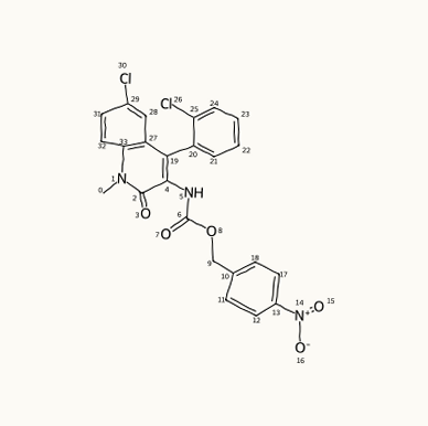 Cn1c(=O)c(NC(=O)OCc2ccc([N+](=O)[O-])cc2)c(-c2ccccc2Cl)c2cc(Cl)ccc21